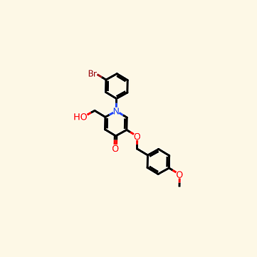 COc1ccc(COc2cn(-c3cccc(Br)c3)c(CO)cc2=O)cc1